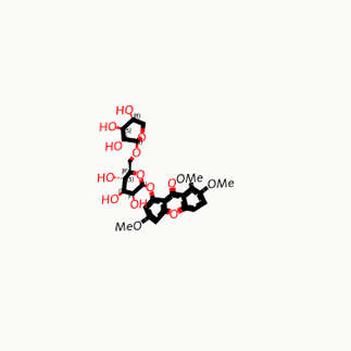 COc1cc(O[C@@H]2O[C@H](CO[C@@H]3OC[C@@H](O)[C@H](O)[C@H]3O)[C@@H](O)[C@H](O)[C@H]2O)c2c(=O)c3c(OC)c(OC)ccc3oc2c1